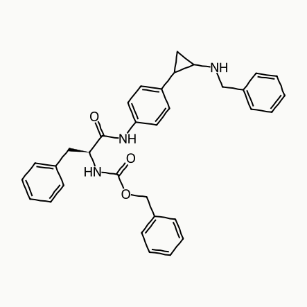 O=C(N[C@@H](Cc1ccccc1)C(=O)Nc1ccc(C2CC2NCc2ccccc2)cc1)OCc1ccccc1